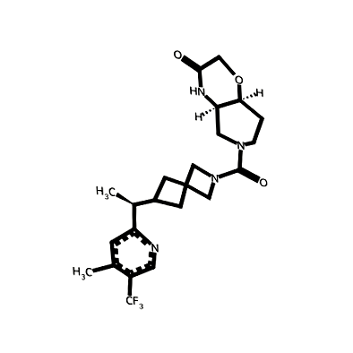 Cc1cc([C@@H](C)C2CC3(C2)CN(C(=O)N2CC[C@@H]4OCC(=O)N[C@@H]4C2)C3)ncc1C(F)(F)F